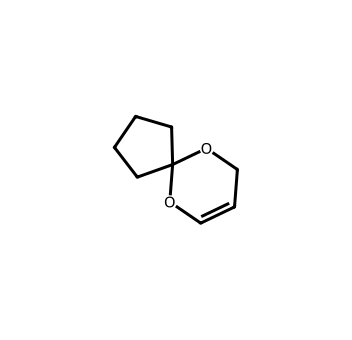 C1=COC2(CCCC2)OC1